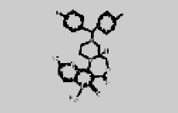 Cn1c(=O)c2c(c3nc(C#N)ccc31)N1CCN(C(c3ccc(F)cc3)c3ccc(F)cc3)C[C@@H]1COC2=O